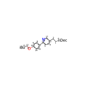 CCCCCCCCCCCCc1ccc(-c2ccc(OCC(C)CC)cc2)nc1